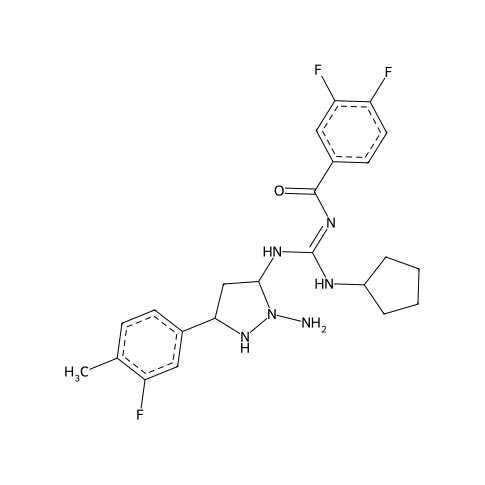 Cc1ccc(C2CC(N/C(=N\C(=O)c3ccc(F)c(F)c3)NC3CCCC3)N(N)N2)cc1F